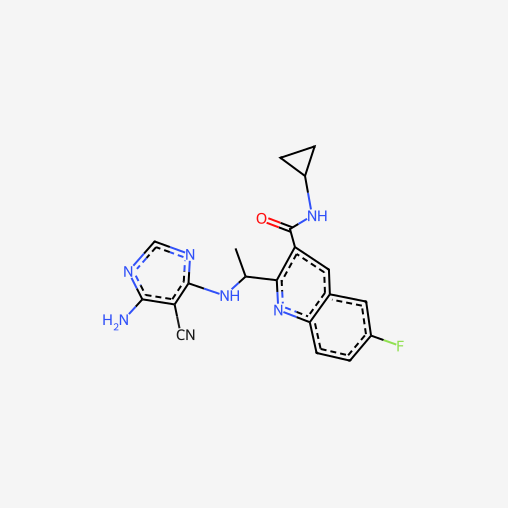 CC(Nc1ncnc(N)c1C#N)c1nc2ccc(F)cc2cc1C(=O)NC1CC1